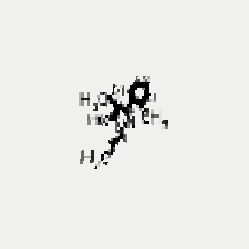 CCCCn1nc(-c2ccccc2C)c(C(C)C)c1O